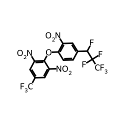 O=[N+]([O-])c1cc(C(F)C(F)(F)C(F)(F)F)ccc1Oc1c([N+](=O)[O-])cc(C(F)(F)F)cc1[N+](=O)[O-]